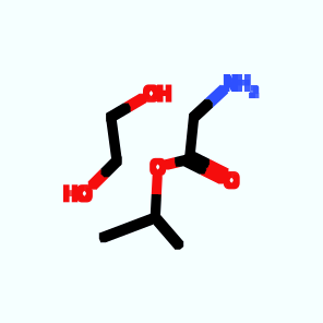 CC(C)OC(=O)CN.OCCO